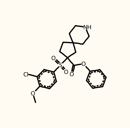 COc1ccc(S(=O)(=O)C2(C(=O)Oc3ccccc3)CCC3(CCNCC3)C2)cc1Cl